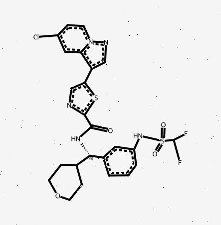 O=C(N[C@H](c1cccc(NS(=O)(=O)C(F)F)c1)C1CCOCC1)c1ncc(-c2cnn3ccc(Cl)cc23)s1